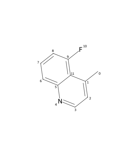 Cc1ccnc2cccc(F)c12